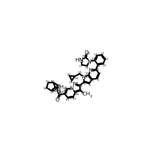 Cc1c(-c2cc3ccc(-c4ccccc4N4CCNC4=O)nc3n2CC2CC2)nn2cc(C(=O)N3CC4CCC3[C@@H]4N)ccc12